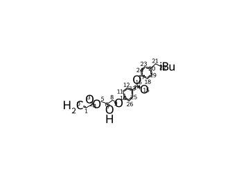 C=CC(=O)OCC(O)COc1ccc(C(=O)Oc2ccc(CC(C)CC)cc2)cc1